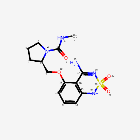 CCNC(=O)N1CCC[C@@H]1COc1cccc2c1C(N)=NS(=O)(=O)N2